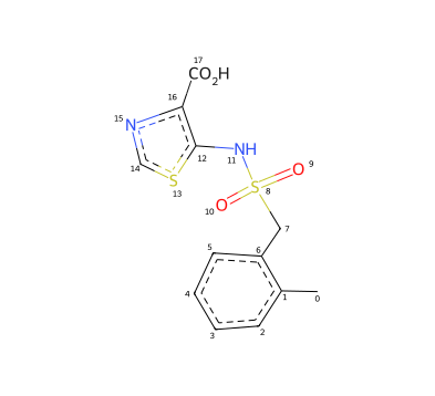 Cc1ccccc1CS(=O)(=O)Nc1scnc1C(=O)O